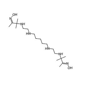 CC(=NO)C(C)(C)NCCNCCCCCNCCNC(C)(C)C(C)=NO